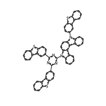 c1ccc2c(c1)sc1ccc(-c3nc(-c4ccc5sc6ccccc6c5c4)nc(-n4c5ccccc5c5c6c7ccccc7n(-c7ccc8sc9ccccc9c8c7)c6ccc54)n3)cc12